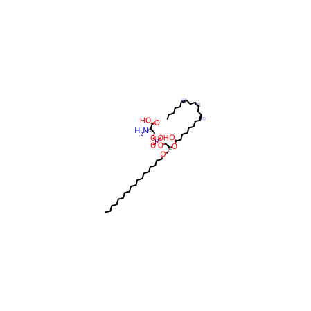 CCCCC/C=C\C/C=C\C/C=C\CCCCCCC(=O)O[C@H](COCCCCCCCCCCCCCCCCCC)COP(=O)(O)OC[C@H](N)C(=O)O